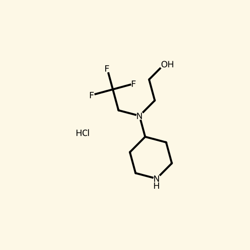 Cl.OCCN(CC(F)(F)F)C1CCNCC1